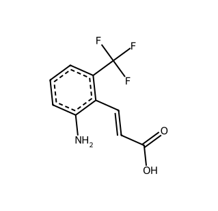 Nc1cccc(C(F)(F)F)c1C=CC(=O)O